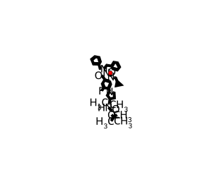 CC(C)(C)OC(=O)NC(C)(C)C1CCN(c2cc3c(cc2F)c(=O)n(N(Cc2ccccc2)Cc2ccccc2)c(=O)n3CC2CC2)C1